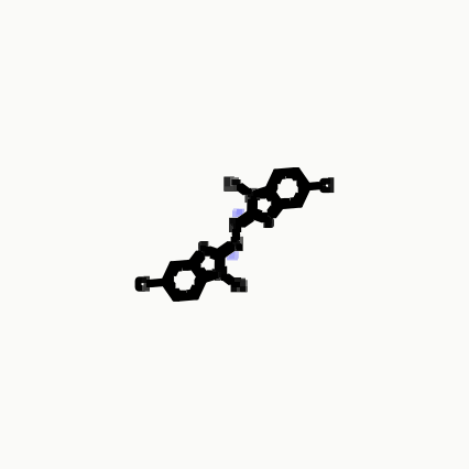 CCn1/c(=N/N=c2\sc3cc(Cl)ccc3n2CC)sc2cc(Cl)ccc21